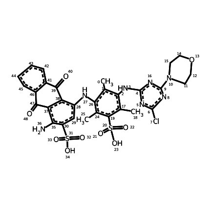 Cc1c(Nc2nc(Cl)nc(N3CCOCC3)n2)c(C)c(S(=O)(=O)O)c(C)c1Nc1cc(S(=O)(=O)O)c(N)c2c1C(=O)c1ccccc1C2=O